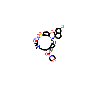 CN1CC=C[C@H](OC(=O)N2CCOCC2)[C@@H]2CC[C@H]2CN2C[C@@]3(CCCc4cc(Cl)ccc43)COc3ccc(cc32)S(=O)(=O)NC(=O)C1(C)C